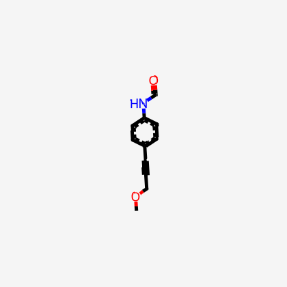 COCC#Cc1ccc(NC=O)cc1